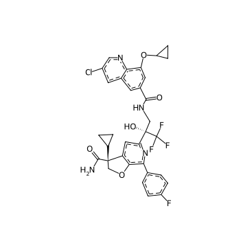 NC(=O)[C@@]1(C2CC2)COc2c1cc([C@@](O)(CNC(=O)c1cc(OC3CC3)c3ncc(Cl)cc3c1)C(F)(F)F)nc2-c1ccc(F)cc1